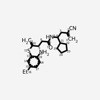 C=C(C#N)CC(NC(=O)CCC(=C)Sc1cc(CC)ccc1N)C1CCCC1